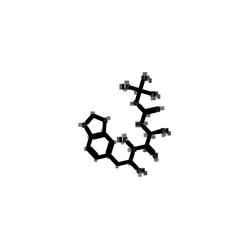 CC(Cc1ccc2c(c1)OCO2)N(C)C(=O)[C@H](C)NC(=O)OC(C)(C)C